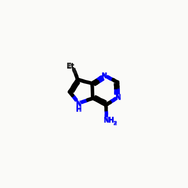 CCc1c[nH]c2c(N)ncnc12